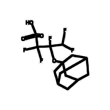 O=S(=O)(O)C(F)(F)C(F)(OC12CC3CC(CC(C3)C1)C2)C(F)F